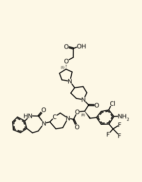 Nc1c(Cl)cc(C[C@@H](OC(=O)N2CCC(N3CCc4ccccc4NC3=O)CC2)C(=O)N2CCC(N3CC[C@H](OCC(=O)O)C3)CC2)cc1C(F)(F)F